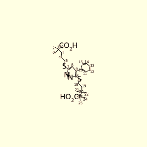 CC(C)(CCCSc1cc(-c2ccccc2)c(SCCC(C)(C)C(C)(C)C(=O)O)nn1)C(=O)O